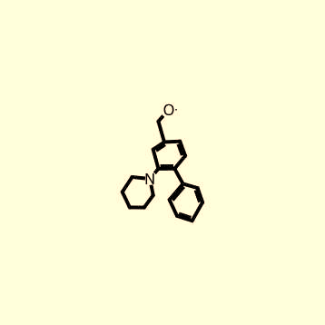 [O]Cc1ccc(-c2ccccc2)c(N2CCCCC2)c1